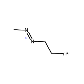 CCCCC/N=N/C